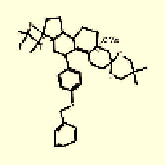 CO[C@@]12CCC3C(=C1CCC1(C2)OCC(C)(C)CO1)C(c1ccc(SCc2ccccc2)cc1)CC1(C)C3CC[C@@]1(C)C(C)(F)C(C)(F)F